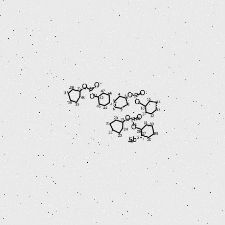 [O-]P(OC1CCCCC1)OC1CCCCC1.[O-]P(OC1CCCCC1)OC1CCCCC1.[O-]P(OC1CCCCC1)OC1CCCCC1.[Sb+3]